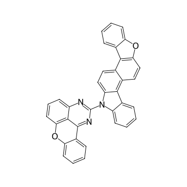 c1ccc2c(c1)Oc1cccc3nc(-n4c5ccccc5c5c6ccc7oc8ccccc8c7c6ccc54)nc-2c13